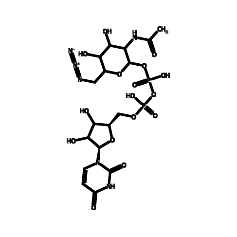 CC(=O)NC1C(OP(=O)(O)OP(=O)(O)OC[C@H]2O[C@@H](n3ccc(=O)[nH]c3=O)C(O)C2O)OC(CN=[N+]=[N-])C(O)C1O